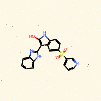 O=S(=O)(c1cccnc1)c1ccc2[nH]c(O)c(-c3nc4ccccc4[nH]3)c2c1